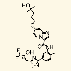 Cc1ccc(-c2noc(C[C@H](O)C(F)F)n2)cc1NC(=O)c1cnc2cc(OCCCC(C)(C)O)ccn12